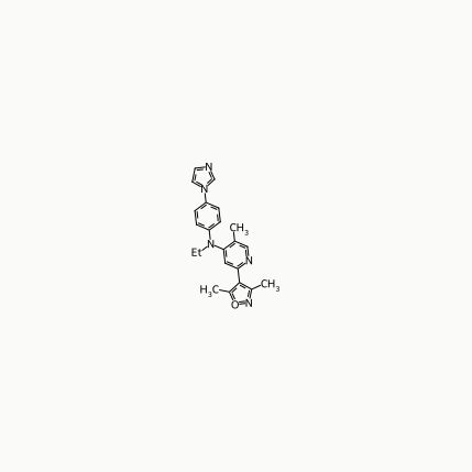 CCN(c1ccc(-n2ccnc2)cc1)c1cc(-c2c(C)noc2C)ncc1C